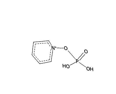 O=P(O)(O)O[n+]1ccccc1